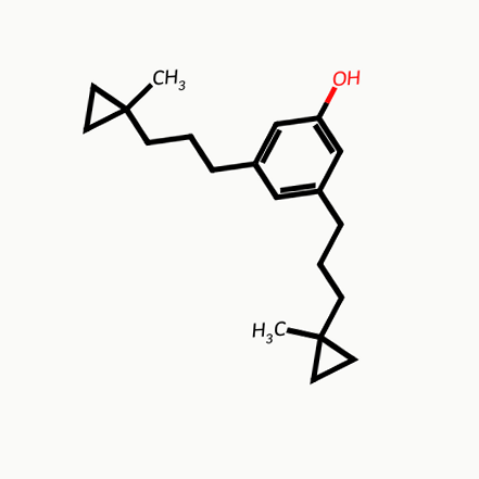 CC1(CCCc2cc(O)cc(CCCC3(C)CC3)c2)CC1